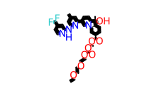 CCOCCOCCOC(=O)OCOC(=O)[C@H]1CC[C@H]([C@@](C)(O)c2ccc(-c3cc(C)cc(Nc4cc(C(F)F)ccn4)n3)cn2)CC1